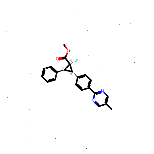 COC(=O)[C@]1(F)[C@H](c2ccccc2)[C@H]1c1ccc(-c2ncc(C)cn2)cc1